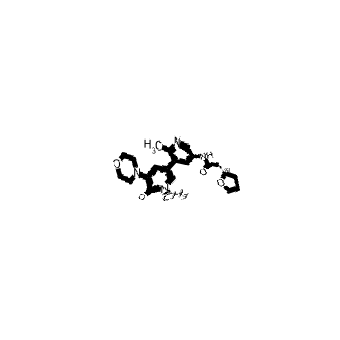 Cc1ncc(NC(=O)C[C@@H]2CCCO2)cc1-c1cc(N2CCOCC2)c(=O)n(C)c1